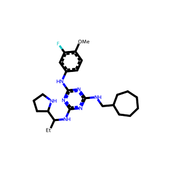 CCC(Nc1nc(NCC2CCCCCC2)nc(Nc2ccc(OC)c(F)c2)n1)C1CCCN1